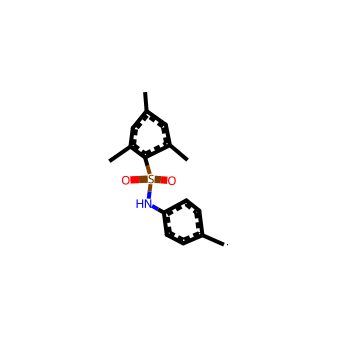 [CH2]c1ccc(NS(=O)(=O)c2c(C)cc(C)cc2C)cc1